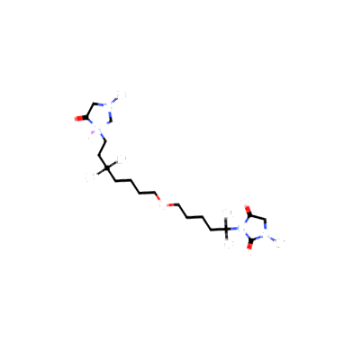 CCN1CC(=O)[N+]([O-])(CCC(CC)(CC)CCCCOCCCCC(CC)(CC)N2C(=O)CN(CC)C2=O)C1